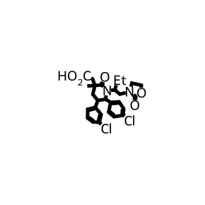 CCC(CN1CCOC1=O)N1C(=O)C(C)(CC(=O)O)CC(c2cccc(Cl)c2)C1c1ccc(Cl)cc1